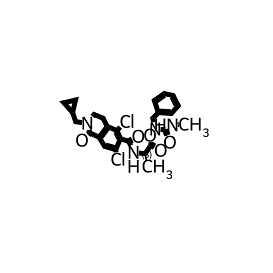 CNC(=O)N(Cc1ccccc1)OC(=O)[C@H](C)NC(=O)c1c(Cl)cc2c(c1Cl)CCN(CC1CC1)C2=O